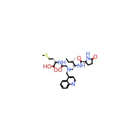 CC[C@H](C)[C@@H](CN(CC(=O)N[C@@H](CCSC)C(=O)O)Cc1ccnc2ccccc12)NC(=O)[C@@H]1CCC(=O)N1